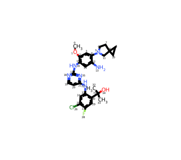 COc1cc(N2CCC3(CC3)C2)c(N)cc1Nc1nccc(Nc2cc(Cl)c(F)cc2C(C)(C)O)n1